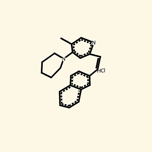 Cc1cnc(/C=C\c2ccc3ccccc3c2)cc1N1CCCCC1.Cl